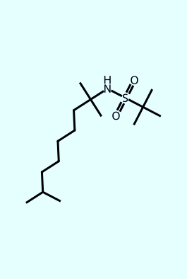 CC(C)CCCCCC(C)(C)NS(=O)(=O)C(C)(C)C